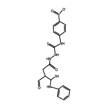 O=CC(CC(=O)NNC(=S)Nc1ccc([N+](=O)[O-])cc1)C(S)Nc1ccccc1